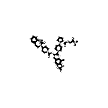 Cc1cc(C[C@@H](OC(=O)N2CCC(N3CCc4ccccc4NC3=O)CC2)C(=O)N2CCC(N3CCC[C@@H]3C(=O)OCC(=O)N(C)C)CC2)cc2oc(=O)[nH]c12